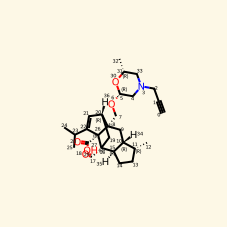 C#CCN1C[C@H](OC[C@@]23C[C@@H]4[C@H](C)CC[C@H]4[C@]4(C=O)C[C@@H]2C=C(C(C)C)[C@@]34C(=O)O)O[C@H](C)C1